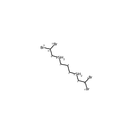 BrC(Br)C[SiH2]CCC[SiH2]CC(Br)Br